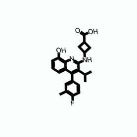 Cc1cc(-c2c(C(C)C)c(NC3CC(C(=O)O)C3)nc3c(O)cccc23)ccc1F